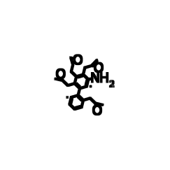 Nc1[c]c(-c2[c]cccc2CC2CO2)c(CC2CO2)c(CC2CO2)c1CC1CO1